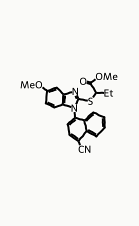 CCC(Sc1nc2cc(OC)ccc2n1-c1ccc(C#N)c2ccccc12)C(=O)OC